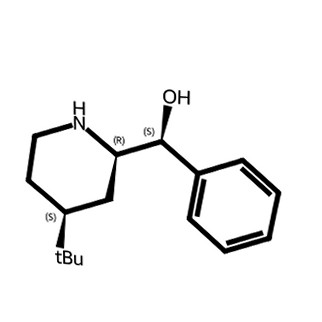 CC(C)(C)[C@H]1CCN[C@@H]([C@@H](O)c2ccccc2)C1